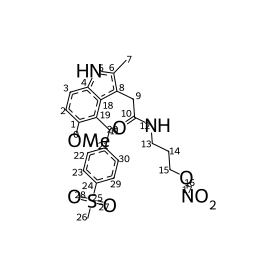 COc1ccc2[nH]c(C)c(CC(=O)NCCCO[N+](=O)[O-])c2c1Cc1ccc(S(C)(=O)=O)cc1